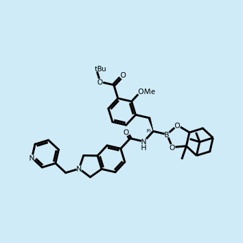 COc1c(C[C@H](NC(=O)c2ccc3c(c2)CN(Cc2cccnc2)C3)B2OC3CC4CC(C4(C)C)C3(C)O2)cccc1C(=O)OC(C)(C)C